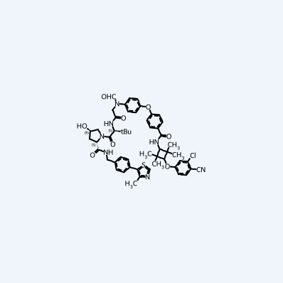 Cc1ncsc1-c1ccc(CNC(=O)[C@@H]2C[C@@H](O)CN2C(=O)[C@@H](NC(=O)CN(C=O)c2ccc(Oc3ccc(C(=O)NC4C(C)(C)C(Oc5ccc(C#N)c(Cl)c5)C4(C)C)cc3)cc2)C(C)(C)C)cc1